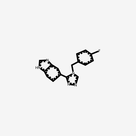 Fc1ccc(Cn2cnnc2-c2ccc3[nH]cnc3c2)cc1